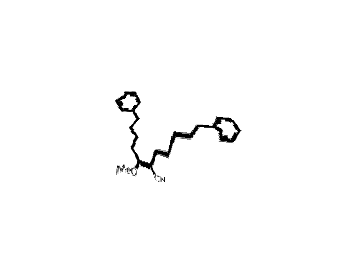 COC(CCCCc1ccccc1)=C(C#N)CCCCCc1ccccc1